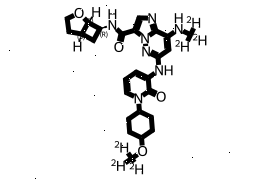 [2H]C([2H])([2H])Nc1cc(Nc2cccn(C3CCC(OC([2H])([2H])[2H])CC3)c2=O)nn2c(C(=O)N[C@@H]3C[C@H]4CCO[C@H]43)cnc12